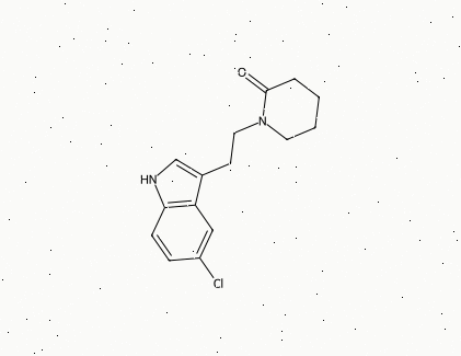 O=C1CCCCN1CCc1c[nH]c2ccc(Cl)cc12